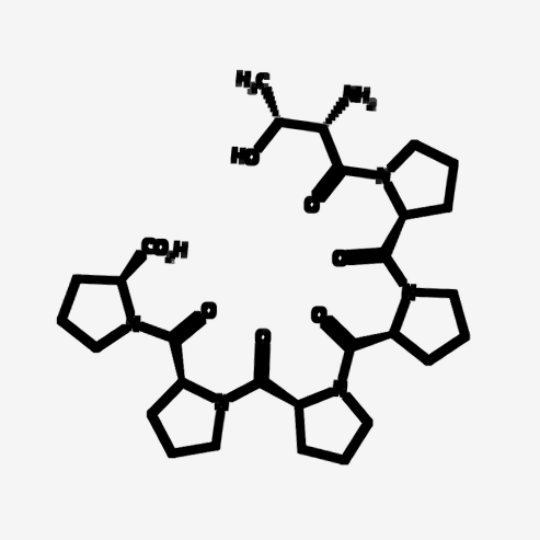 C[C@@H](O)[C@H](N)C(=O)N1CCC[C@H]1C(=O)N1CCC[C@H]1C(=O)N1CCC[C@H]1C(=O)N1CCC[C@H]1C(=O)N1CCC[C@H]1C(=O)O